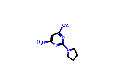 Nc1cc(N)nc(N2CCCC2)n1